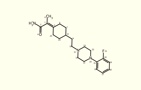 CC(C(N)=O)=C1CCC(CCN2CCN(c3ccccc3F)CC2)CC1